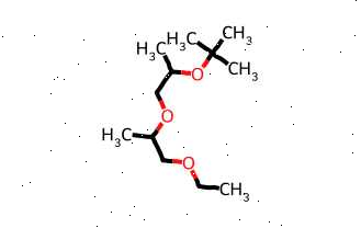 CCOCC(C)OCC(C)OC(C)(C)C